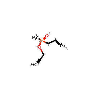 C#CCOP(C)(=O)CC=C